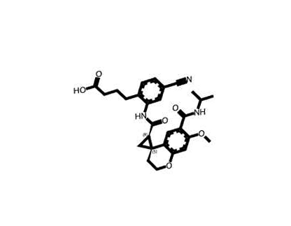 COc1cc2c(cc1C(=O)NC(C)C)[C@]1(CCO2)C[C@H]1C(=O)Nc1cc(C#N)ccc1CCCC(=O)O